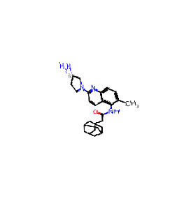 Cc1ccc2nc(N3CC[C@H](N)C3)ccc2c1NC(=O)CC12CC3CC(CC(C3)C1)C2